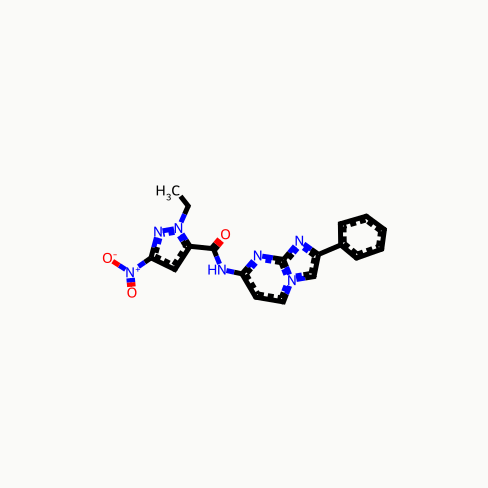 CCn1nc([N+](=O)[O-])cc1C(=O)Nc1ccn2cc(-c3ccccc3)nc2n1